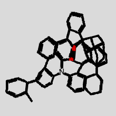 CC1C=CC=CC1c1ccc(N(c2ccc3c(c2)C2(c4ccccc4-3)C3CC4CC5CC2C53C4)c2ccccc2-c2cccc3cccc(C4CCCCC4)c23)c(-c2ccccc2)c1